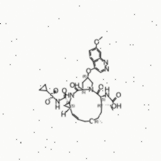 CC[C@@H]1C[C@H](C)CCC=C[C@@H]2C[C@@]2(C(=O)NS(=O)(=O)C2CC2)NC(=O)[C@@H]2C[C@@H](Oc3cnnc4cc(OC)ccc34)CN2C(=O)[C@H]1NC(=O)O